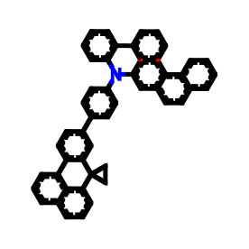 c1ccc(-c2ccccc2N(c2ccc(-c3ccc4c(c3)C3(CC3)c3cccc5cccc-4c35)cc2)c2ccc3c(ccc4ccccc43)c2)cc1